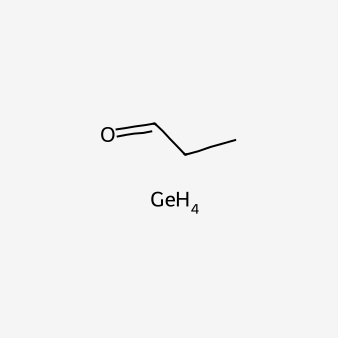 CCC=O.[GeH4]